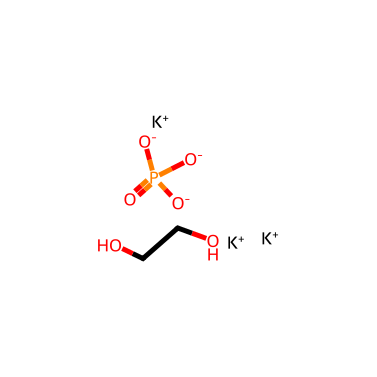 O=P([O-])([O-])[O-].OCCO.[K+].[K+].[K+]